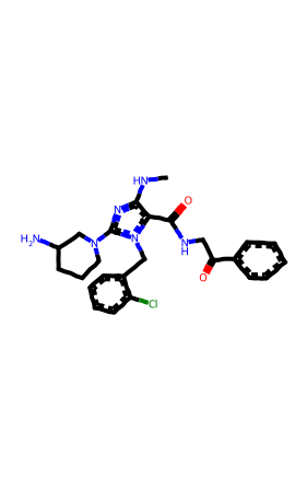 CNc1nc(N2CCCC(N)C2)n(Cc2ccccc2Cl)c1C(=O)NCC(=O)c1ccccc1